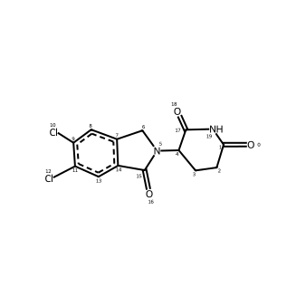 O=C1CCC(N2Cc3cc(Cl)c(Cl)cc3C2=O)C(=O)N1